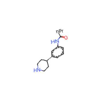 CCCC(=O)Nc1cccc(C2CCNCC2)c1